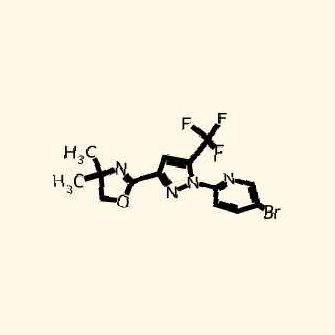 CC1(C)COC(c2cc(C(F)(F)F)n(-c3ccc(Br)cn3)n2)=N1